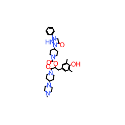 Cc1cc(CC(OC(=O)N2CCC(N3NN(c4ccccc4)CC3=O)CC2)C(=O)N2CCC(N3CCN(C)CC3)CC2)cc(C)c1O